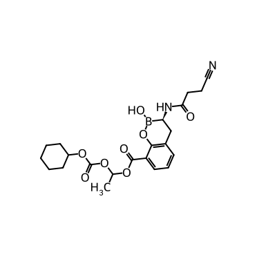 CC(OC(=O)OC1CCCCC1)OC(=O)c1cccc2c1OB(O)[C@@H](NC(=O)CCC#N)C2